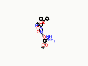 CC(C)(C)OC(=O)c1ccc(OCCCN2CCN(C(CC(=O)OC(c3ccccc3)c3ccccc3)c3cccnc3)C(=O)C2=O)c(C(=N)N)c1